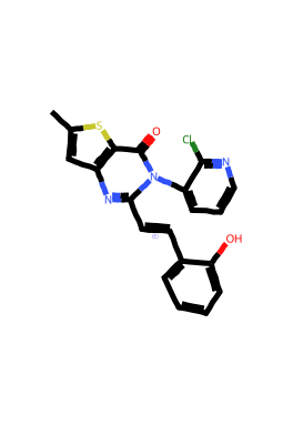 Cc1cc2nc(/C=C/c3ccccc3O)n(-c3cccnc3Cl)c(=O)c2s1